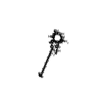 CC[C@H](C)[C@H](CCNC(=O)CN)C(=O)NCC(=O)N[C@@H]1C[S+]([O-])C2Nc3c(ccc(OC)c3CSC3CCN(C(=O)CCOCCOCCOCCOCCOCCOCCOCCOCCN4C(=O)C=CC4=O)CC3)C2C[C@@H](CO)NC(=O)[C@H]([C@@H](C)[C@@H](O)CO)NC(=O)C[C@@H](O)CNC(=O)[C@H](CC(N)=O)NC1=O